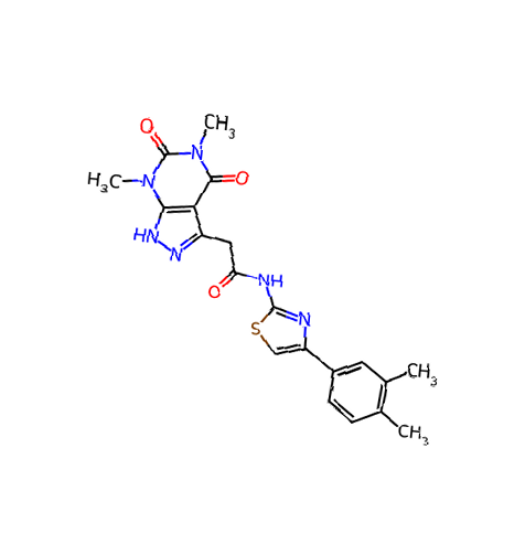 Cc1ccc(-c2csc(NC(=O)Cc3n[nH]c4c3c(=O)n(C)c(=O)n4C)n2)cc1C